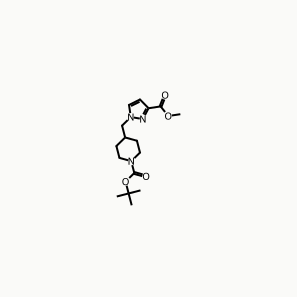 COC(=O)c1ccn(CC2CCN(C(=O)OC(C)(C)C)CC2)n1